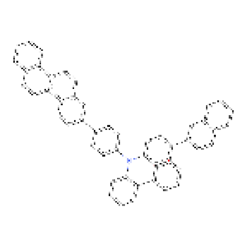 c1ccc(-c2ccccc2N(c2ccc(-c3ccc4ccccc4c3)cc2)c2ccc(-c3ccc4c(ccc5c6ccccc6ccc45)c3)cc2)cc1